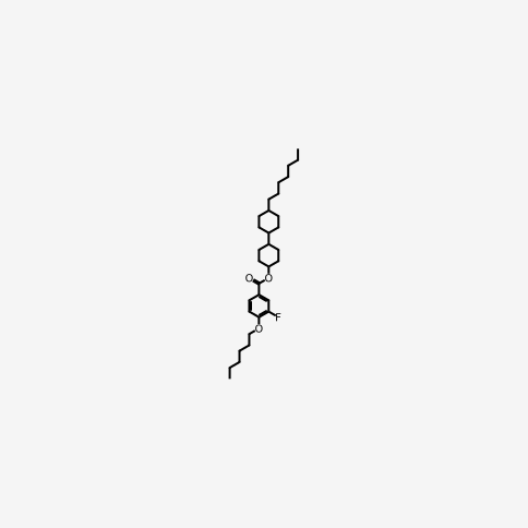 CCCCCCCC1CCC(C2CCC(OC(=O)c3ccc(OCCCCCC)c(F)c3)CC2)CC1